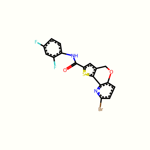 O=C(Nc1ccc(F)cc1F)c1cc2c(s1)-c1nc(Br)ccc1OC2